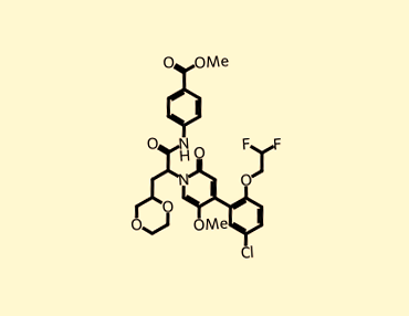 COC(=O)c1ccc(NC(=O)C(CC2COCCO2)n2cc(OC)c(-c3cc(Cl)ccc3OCC(F)F)cc2=O)cc1